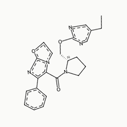 CCc1cnc(OC[C@@H]2CCCN2C(=O)c2c(-c3ccccc3)nc3occn23)nc1